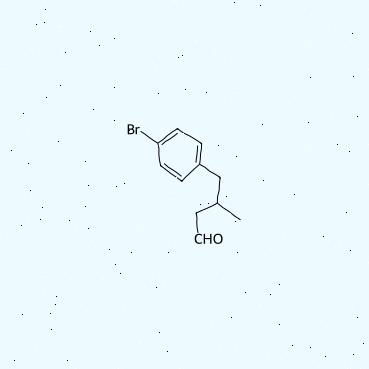 CC(CC=O)Cc1ccc(Br)cc1